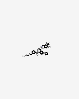 O=C(Nc1ccc(N2CCCC2)cc1C(=O)N/N=C\c1ccc(Cl)c(C(F)(F)F)c1)c1cccc(CSCCO)c1